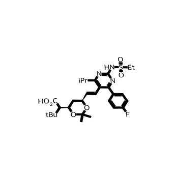 CCS(=O)(=O)Nc1nc(-c2ccc(F)cc2)c(/C=C/[C@@H]2C[C@H](C(C(=O)O)C(C)(C)C)OC(C)(C)O2)c(C(C)C)n1